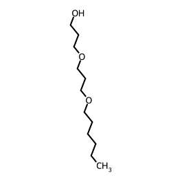 CCCCCCOCCCOCCCO